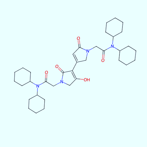 O=C1C=C(C2=C(O)CN(CC(=O)N(C3CCCCC3)C3CCCCC3)C2=O)CN1CC(=O)N(C1CCCCC1)C1CCCCC1